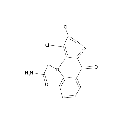 NC(=O)Cn1c2ccccc2c(=O)c2ccc(Cl)c(Cl)c21